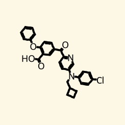 O=C(c1ccc(Oc2ccccc2)c(C(=O)O)c1)c1ccc(N(CC2CCC2)c2ccc(Cl)cc2)cn1